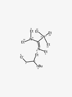 CCCCC(CC)C[O-].CCN=C(N(CC)CC)[N+](CC)(CC)CC